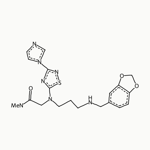 CNC(=O)CN(CCCNCc1ccc2c(c1)OCO2)c1nc(-n2ccnc2)ns1